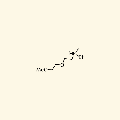 CC[PH](C)(C)CCOCCOC